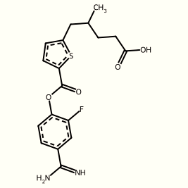 CC(CCC(=O)O)Cc1ccc(C(=O)Oc2ccc(C(=N)N)cc2F)s1